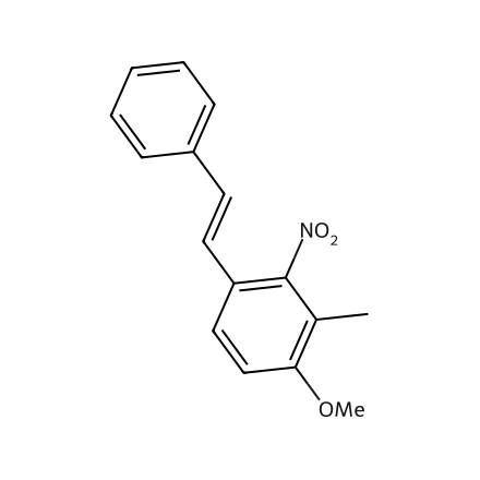 COc1ccc(C=Cc2ccccc2)c([N+](=O)[O-])c1C